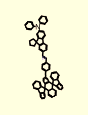 C1=CC2C(C=C1)C1(c3ccccc3-c3ccccc31)c1cc(-c3ccc(/C=C/c4ccc5c(c4)C4(CCCC4)c4cc(N(c6ccccc6)c6ccccc6)ccc4-5)cc3)ccc1C21c2ccccc2-c2ccccc21